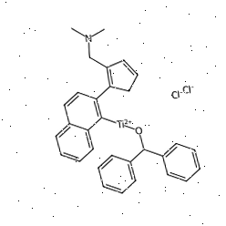 CN(C)CC1=C(c2ccc3ccccc3[c]2[Ti+2][O]C(c2ccccc2)c2ccccc2)CC=C1.[Cl-].[Cl-]